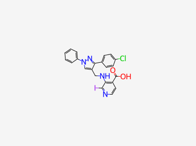 O=C(O)c1ccnc(I)c1NCc1cn(-c2ccccc2)nc1-c1ccc(Cl)cc1